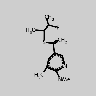 C=C(SC(C)C(C)F)c1cnc(NC)c(C)c1